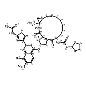 CCC(=O)Nc1nc(-c2cc(O[C@@H]3C[C@H]4C(=O)N[C@]5(C(=O)O)CC5/C=C\CCCCC[C@H](NC(=O)OC5CCCC5)C(=O)N4C3)c3ccc(OC)c(Br)c3n2)cs1